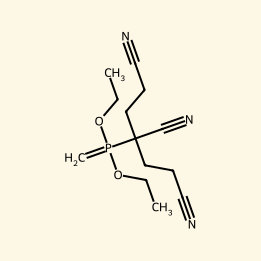 C=P(OCC)(OCC)C(C#N)(CCC#N)CCC#N